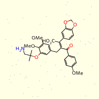 COc1ccc(C(=O)C(Cc2cc(OC)c(OC)c(OC(C)(C)CN)c2)=C(C(=O)O)c2ccc3c(c2)OCO3)cc1